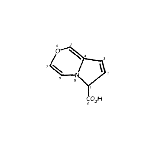 O=C(O)C1C=CC2=COC=CN21